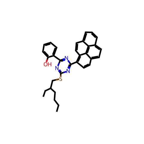 CCCCC(CC)CSc1nc(-c2ccccc2O)nc(-c2ccc3ccc4cccc5ccc2c3c45)n1